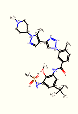 COc1c(NC(=O)c2ccc(C)c(-n3cc(-c4cnn(C5CCN(C)CC5)c4C)nn3)c2)cc(C(C)(C)C)cc1NS(C)(=O)=O